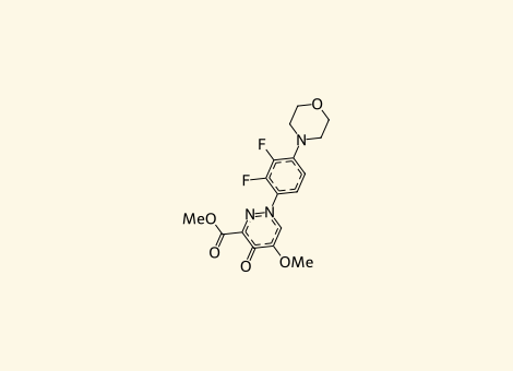 COC(=O)c1nn(-c2ccc(N3CCOCC3)c(F)c2F)cc(OC)c1=O